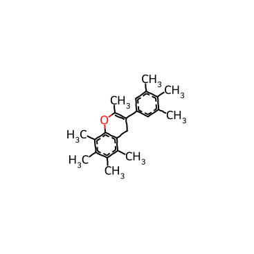 CC1=C(c2cc(C)c(C)c(C)c2)Cc2c(C)c(C)c(C)c(C)c2O1